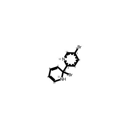 Brc1ccc(C2(Br)C=CC=CN2)nc1